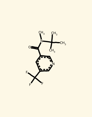 CN(C(=O)c1cncc(C(F)(F)F)c1)C(C)(C)C